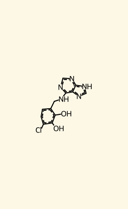 Oc1c(Cl)ccc(CNc2ncnc3[nH]cnc23)c1O